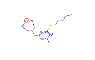 CCCCCSc1nc(C)cc(CN2CCOCC2)n1